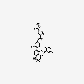 COc1cc(OC(=O)c2cn(C(=O)OC(C)(C)C)cn2)ccc1-c1ccc2c(c1COc1cc(F)ccc1C)C(C)=CC(C)(C)N2